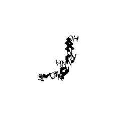 CC1(O)CC2(CN(c3cc(Nc4cc5c(cn4)cnn5COCC[Si](C)(C)C)ncn3)C2)C1